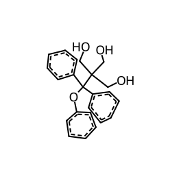 OCC(CO)(CO)C(Oc1ccccc1)(c1ccccc1)c1ccccc1